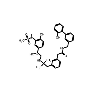 CC(C)(Cc1cccc(CC(=O)NCc2cccc(-c3ccccc3O)c2)c1)NC[C@@H](O)c1ccc(O)c(NS(C)(=O)=O)c1